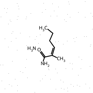 CCCC=C(C)C(N)=O.N